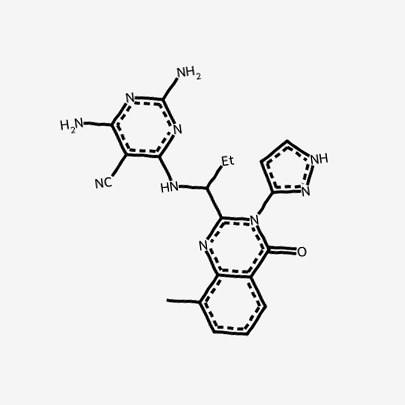 CCC(Nc1nc(N)nc(N)c1C#N)c1nc2c(C)cccc2c(=O)n1-c1cc[nH]n1